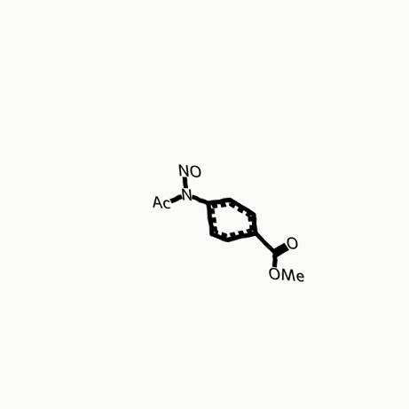 COC(=O)c1ccc(N(N=O)C(C)=O)cc1